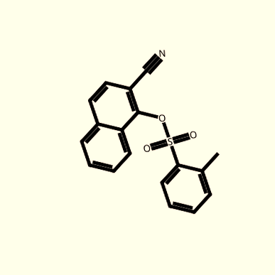 Cc1ccccc1S(=O)(=O)Oc1c(C#N)ccc2ccccc12